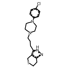 Clc1ccc(N2CCN(CCCc3[nH]nc4c3CSCC4)CC2)cc1